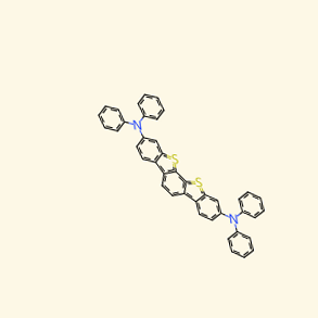 c1ccc(N(c2ccccc2)c2ccc3c(c2)sc2c3ccc3c4ccc(N(c5ccccc5)c5ccccc5)cc4sc32)cc1